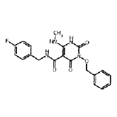 CNc1[nH]c(=O)n(OCc2ccccc2)c(=O)c1C(=O)NCc1ccc(F)cc1